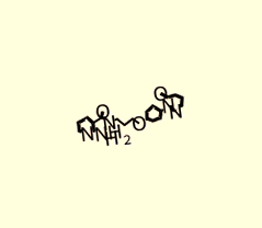 Nc1ncccc1C(=O)NCCCOc1ccc(-n2ncccc2=O)cc1